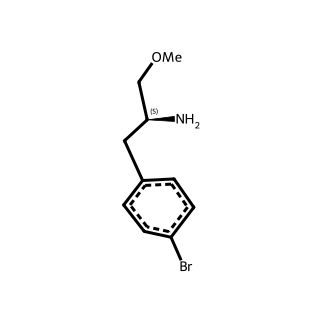 COC[C@@H](N)Cc1ccc(Br)cc1